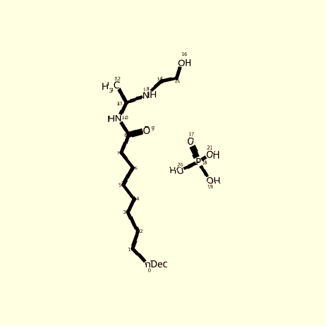 CCCCCCCCCCCCCCCCCC(=O)NC(C)NCCO.O=P(O)(O)O